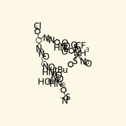 Cc1ncsc1-c1ccc([C@H](C)NC(=O)[C@@H]2C[C@@H](O)CN2C(=O)[C@@H](NC(=O)CN2CCC(CC(=O)N3CCN(CC4(C)CCC(c5ccc(Cl)cc5)=C(CN5CCN(c6ccc(C(=O)NS(=O)(=O)c7ccc(N[C@H](CCN8CCOCC8)CSc8ccccc8)c(S(=O)(=O)C(F)(F)F)c7)cc6)CC5)C4)CC3)CC2)C(C)(C)C)cc1